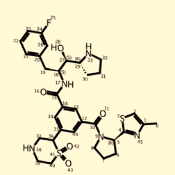 Cc1csc([C@H]2CCCN2C(=O)c2cc(C(=O)N[C@@H](Cc3cccc(F)c3)[C@@H](O)[C@H]3CCCN3)cc(C3CNCCS3(=O)=O)c2)n1